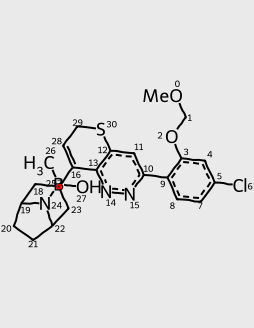 COCOc1cc(Cl)ccc1-c1cc2c(nn1)C(C1CC3CCC(C1)N3B(C)O)=CCS2